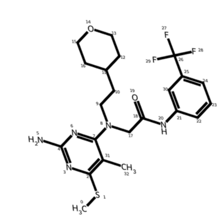 CSc1nc(N)nc(N(CCC2CCOCC2)CC(=O)Nc2cccc(C(F)(F)F)c2)c1C